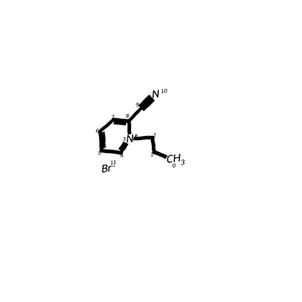 CCC[n+]1ccccc1C#N.[Br-]